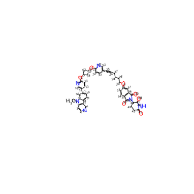 Cn1c2ccncc2c2ccc(-c3ccc(O[C@H]4C[C@H](Oc5ccc(C#CCCCCOc6ccc7c(c6)C(=O)N(C6CCC(=O)NC6=O)C7=O)cn5)C4)nc3)cc21